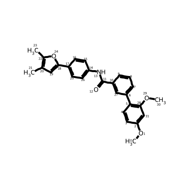 COc1ccc(-c2cccc(C(=O)Nc3ccc(-c4cc(C)c(C)o4)cc3)c2)c(OC)c1